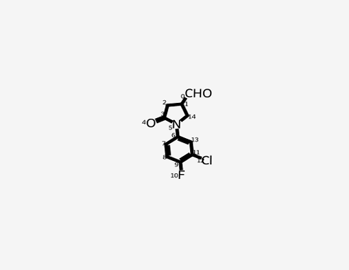 O=CC1CC(=O)N(c2ccc(F)c(Cl)c2)C1